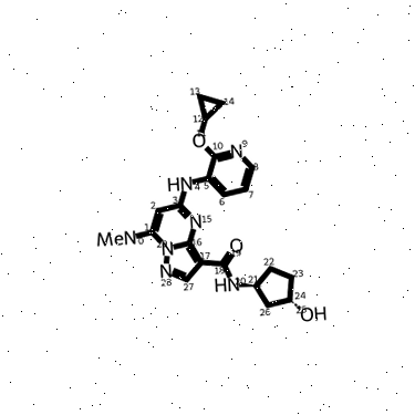 CNc1cc(Nc2cccnc2OC2CC2)nc2c(C(=O)N[C@H]3CC[C@H](O)C3)cnn12